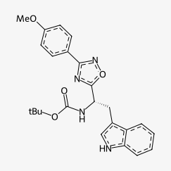 COc1ccc(-c2noc([C@H](Cc3c[nH]c4ccccc34)NC(=O)OC(C)(C)C)n2)cc1